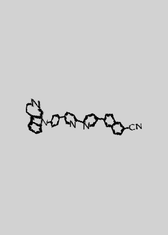 N#Cc1ccc2cc(-c3ccc(-c4ccc(-c5ccc(-n6c7c(c8ccccc86)CCN=C7)cc5)cn4)nc3)ccc2c1